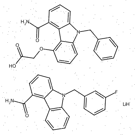 NC(=O)c1cccc2c1c1[c]cccc1n2Cc1cccc(F)c1.NC(=O)c1cccc2c1c1c(OCC(=O)O)cccc1n2Cc1ccccc1.[LiH]